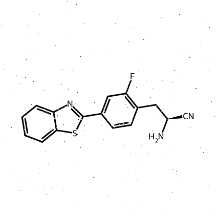 N#C[C@@H](N)Cc1ccc(-c2nc3ccccc3s2)cc1F